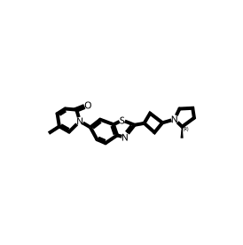 Cc1ccc(=O)n(-c2ccc3nc(C4CC(N5CCC[C@H]5C)C4)sc3c2)c1